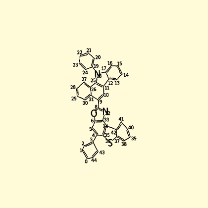 c1ccc(-c2cc3oc(-c4cc5c6ccccc6n(-c6ccccc6)c5c5ccccc45)nc3c3c2sc2ccccc23)cc1